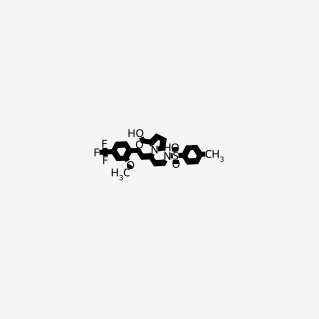 COc1cc(C(F)(F)F)ccc1C(=O)/C=C(/C=C\NS(=O)(=O)c1ccc(C)cc1)n1cccc1CO